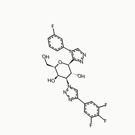 OC[C@H]1O[C@@H](c2nncn2-c2cccc(F)c2)[C@H](O)[C@@H](n2cc(-c3cc(F)c(F)c(F)c3)nn2)[C@H]1O